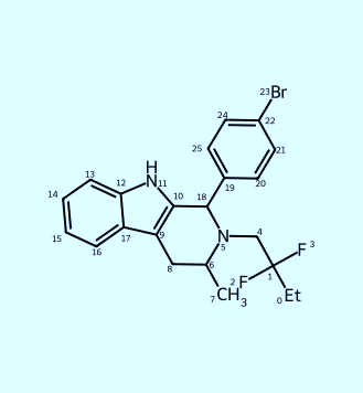 CCC(F)(F)CN1C(C)Cc2c([nH]c3ccccc23)C1c1ccc(Br)cc1